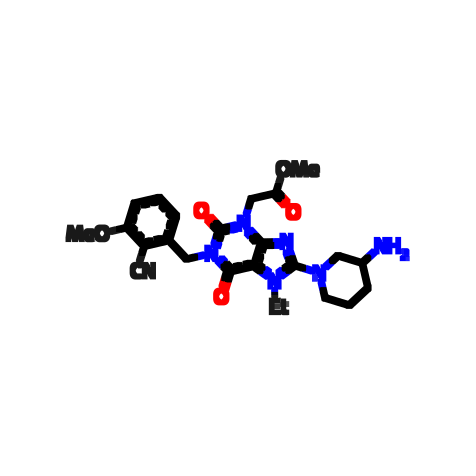 CCn1c(N2CCCC(N)C2)nc2c1c(=O)n(Cc1cccc(OC)c1C#N)c(=O)n2CC(=O)OC